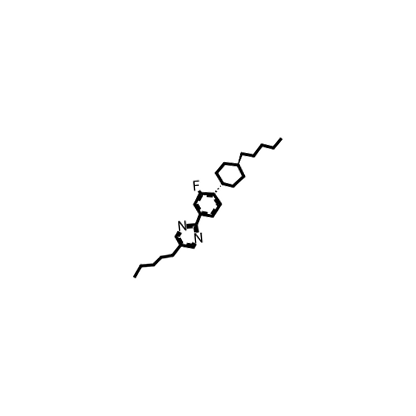 CCCCCc1cnc(-c2ccc([C@H]3CC[C@H](CCCCC)CC3)c(F)c2)nc1